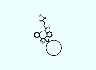 CCCNC(=O)CCC(=O)N1Cc2ccccc2-c2nnn(C3(C)CCCCCCCCCCCCCCC3)c2-c2ccccc21